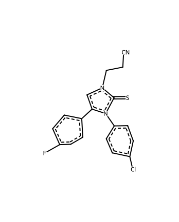 N#CCCn1cc(-c2ccc(F)cc2)n(-c2ccc(Cl)cc2)c1=S